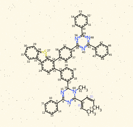 C/C=C\C(=C/C)C1=NC(c2ccccc2)=NC(c2cccc(-c3ccc4c(sc5ccccc54)c3-c3ccc(-c4nc(-c5ccccc5)nc(-c5ccccc5)n4)cc3)c2)N1C